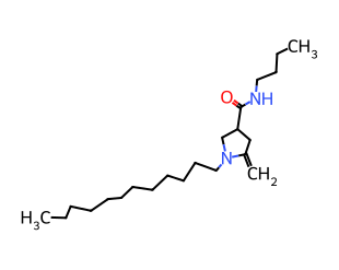 C=C1CC(C(=O)NCCCC)CN1CCCCCCCCCCCC